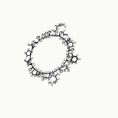 Cc1sc2cc1C1=C(CCC1)c1cc(sc1C)C(=O)N1CCC[C@H]1C(=O)N[C@@H](C(C)C)C(=O)N[C@@H](CCCN)C(=O)N[C@@H](CC(C)C)C(=O)N[C@H](Cc1ccccc1)C(=O)N1CCC[C@H]1C(=O)N[C@@H](C(C)C)C(=O)N[C@@H](CCCN)C(=O)NNC2=O